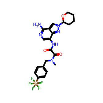 CN(Cc1ccc(S(F)(F)(F)(F)F)cc1)C(=O)C(=O)Nc1cnc(N)c2cn(C3CCCCO3)nc12